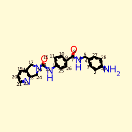 Nc1ccc(CNC(=O)c2ccc(NC(=O)N3Cc4cccnc4C3)cc2)cc1